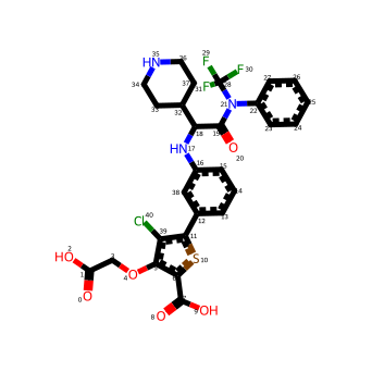 O=C(O)COc1c(C(=O)O)sc(-c2cccc(NC(C(=O)N(c3ccccc3)C(F)(F)F)C3CCNCC3)c2)c1Cl